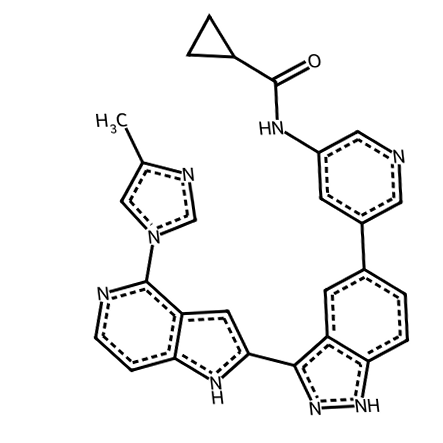 Cc1cn(-c2nccc3[nH]c(-c4n[nH]c5ccc(-c6cncc(NC(=O)C7CC7)c6)cc45)cc23)cn1